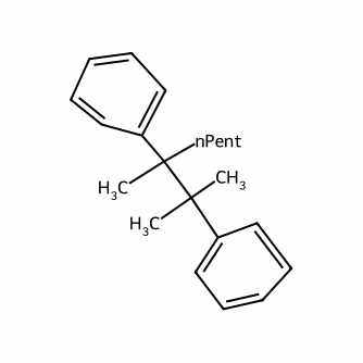 CCCCCC(C)(c1ccccc1)C(C)(C)c1ccccc1